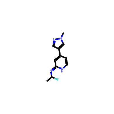 CC(F)/N=c1/cc(-c2cnn(C)c2)cc[nH]1